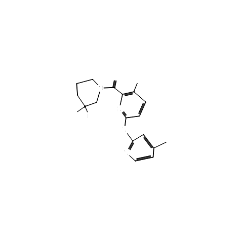 Cc1ccnc(Nc2ccc(C)c(C(=O)N3CCCC(F)(F)C3)n2)c1